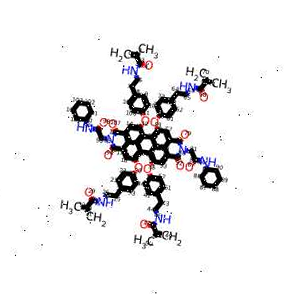 C=C(C)C(=O)NCCc1ccc(Oc2cc3c4c(cc(Oc5ccc(CCNC(=O)C(=C)C)cc5)c5c6c(Oc7ccc(CCNC(=O)C(=C)C)cc7)cc7c8c(cc(Oc9ccc(CCNC(=O)C(=C)C)cc9)c(c2c45)c86)C(=O)N(CC(=O)NC2CCCCC2)C7=O)C(=O)N(CC(=O)NC2CCCCC2)C3=O)cc1